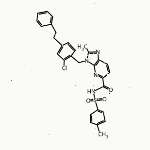 Cc1ccc(S(=O)(=O)NC(=O)c2ccc3nc(C)n(Cc4ccc(CCc5ccccc5)cc4Cl)c3n2)cc1